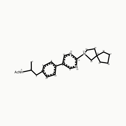 CC(=O)NC(C)Cc1ccc(-c2cnc(N3CCC4(CCCC4)C3)nc2)cc1